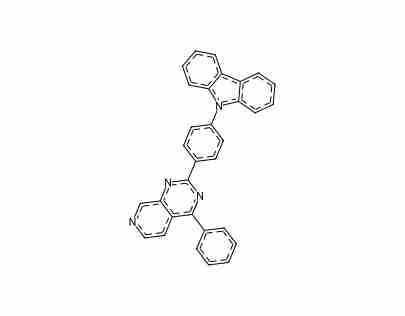 c1ccc(-c2nc(-c3ccc(-n4c5ccccc5c5ccccc54)cc3)nc3cnccc23)cc1